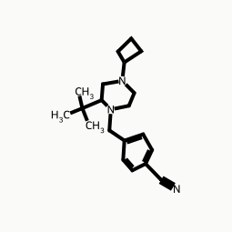 CC(C)(C)C1CN(C2CCC2)CCN1Cc1ccc(C#N)cc1